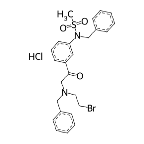 CS(=O)(=O)N(Cc1ccccc1)c1cccc(C(=O)CN(CCBr)Cc2ccccc2)c1.Cl